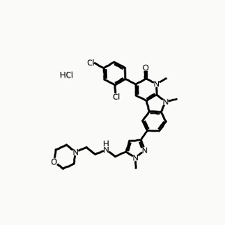 Cl.Cn1nc(-c2ccc3c(c2)c2cc(-c4ccc(Cl)cc4Cl)c(=O)n(C)c2n3C)cc1CNCCN1CCOCC1